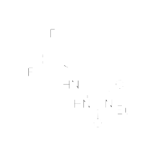 CCn1c(=O)[nH]c2c(c1=O)CC[C@H](c1cc(F)cc(F)c1)N2